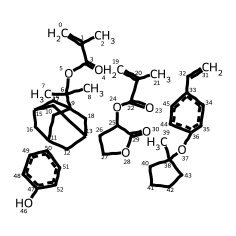 C=C(C)C(=O)OC(C)(C)C12CC3CC(CC(C3)C1)C2.C=C(C)C(=O)OC1CCOC1=O.C=Cc1ccc(OC2(C)CCCC2)cc1.Oc1cc[c]cc1